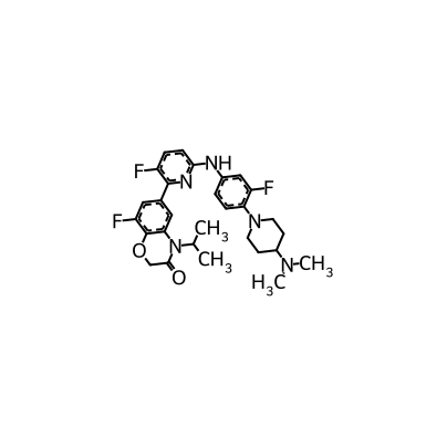 CC(C)N1C(=O)COc2c(F)cc(-c3nc(Nc4ccc(N5CCC(N(C)C)CC5)c(F)c4)ccc3F)cc21